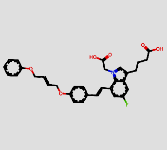 O=C(O)CCCc1cn(CC(=O)O)c2c(C=Cc3ccc(OCC=CCOc4ccccc4)cc3)cc(F)cc12